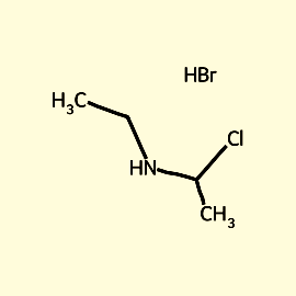 Br.CCNC(C)Cl